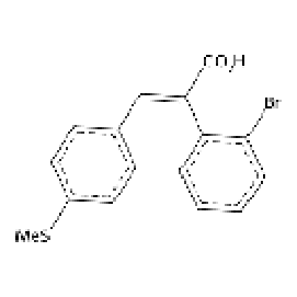 CSc1ccc(C=C(C(=O)O)c2ccccc2Br)cc1